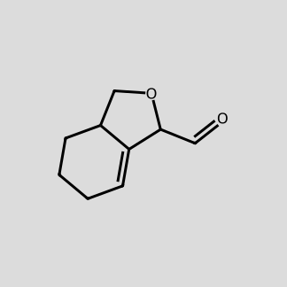 O=CC1OCC2CCCC=C21